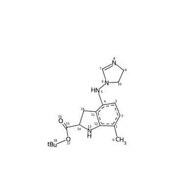 Cc1ccc(NN2C=NCC2)c2c1NC(C(=O)OC(C)(C)C)C2